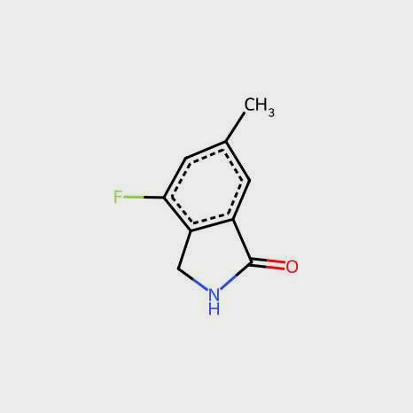 Cc1cc(F)c2c(c1)C(=O)NC2